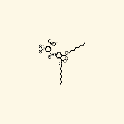 CCCCCCCCOC(=O)c1ccccc1C(=O)OCCCCCCCC.O=[N+]([O-])c1cc([N+](=O)[O-])cc([N+](=O)[O-])c1